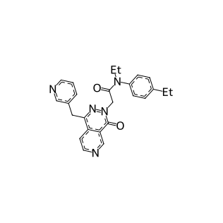 CCc1ccc(N(CC)C(=O)Cn2nc(Cc3cccnc3)c3ccncc3c2=O)cc1